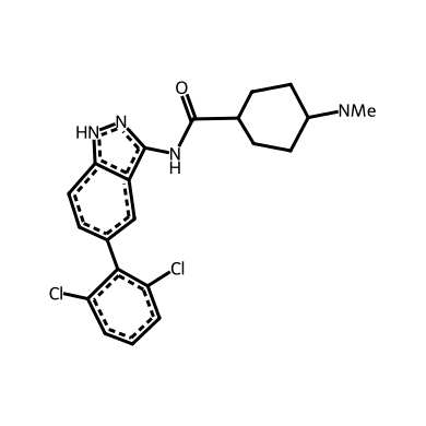 CNC1CCC(C(=O)Nc2n[nH]c3ccc(-c4c(Cl)cccc4Cl)cc23)CC1